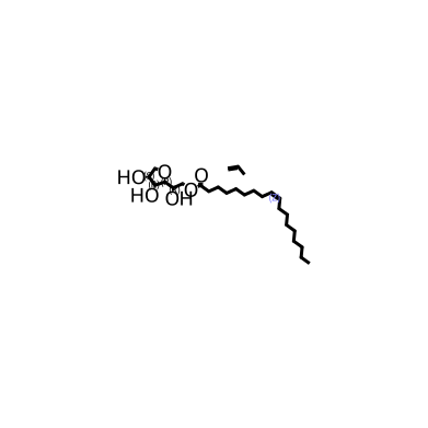 C=CC.CCCCCCCC/C=C\CCCCCCCC(=O)OC[C@@H](O)[C@H]1OC[C@H](O)[C@H]1O